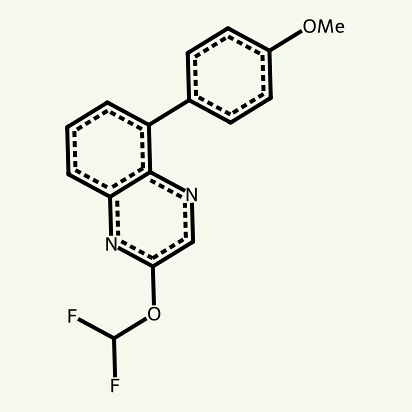 COc1ccc(-c2cccc3nc(OC(F)F)cnc23)cc1